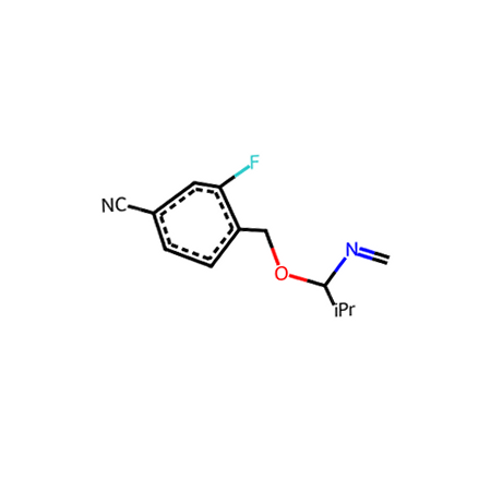 C=NC(OCc1ccc(C#N)cc1F)C(C)C